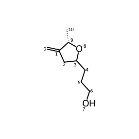 C=C1CC(CCCO)O[C@H]1C